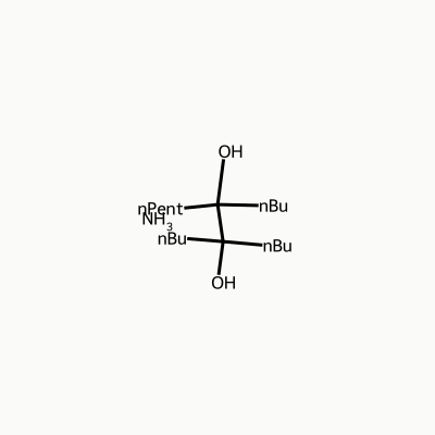 CCCCCC(O)(CCCC)C(O)(CCCC)CCCC.N